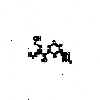 CN(CCO)C(=O)c1cccc(NN)c1